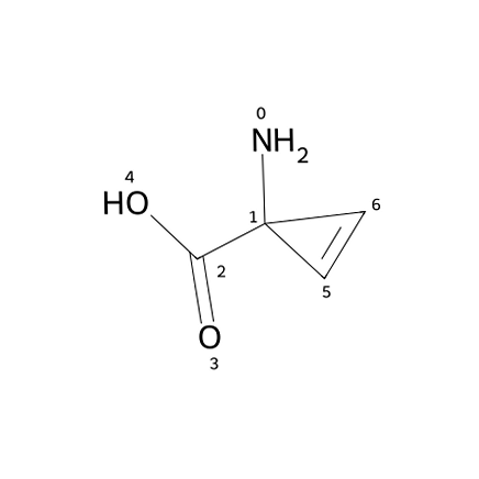 NC1(C(=O)O)C=C1